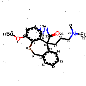 CCCCOc1cccc2c1SCc1ccccc1C2(CCCN(C)CC)C(N)=O